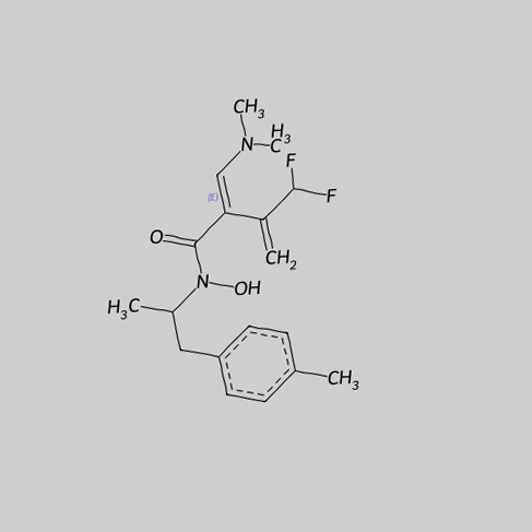 C=C(/C(=C\N(C)C)C(=O)N(O)C(C)Cc1ccc(C)cc1)C(F)F